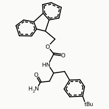 CC(C)(C)c1ccc(CC(CC(N)=O)NC(=O)OCC2c3ccccc3-c3ccccc32)cc1